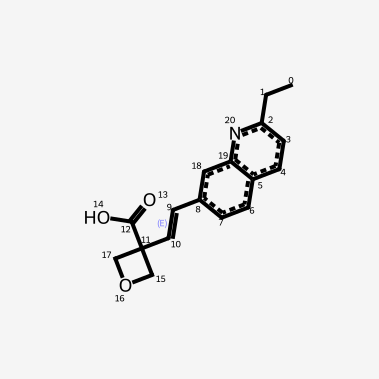 CCc1ccc2ccc(/C=C/C3(C(=O)O)COC3)cc2n1